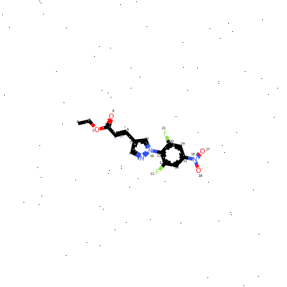 CCOC(=O)/C=C/c1cnn(-c2c(F)cc([N+](=O)[O-])cc2F)c1